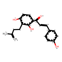 C=C(C)CCc1c(O)ccc(C(=O)C=Cc2ccc(O)cc2)c1O